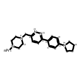 CCCN1CCN(Cc2ccc(-c3ccc(N4CCCC4)cc3)nn2)CC1